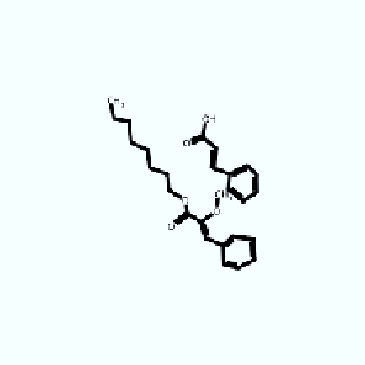 CCCCCCCCOC(=O)C(=Cc1ccccc1)OC.O=C(O)C=Cc1ccccc1